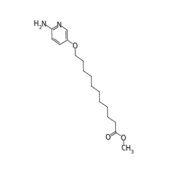 COC(=O)CCCCCCCCCCOc1ccc(N)nc1